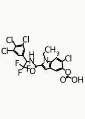 CCn1c(C(=O)NC(c2cc(Cl)c(Cl)c(Cl)c2)C(F)(F)F)cc2cc(OC(=O)O)c(Cl)cc21